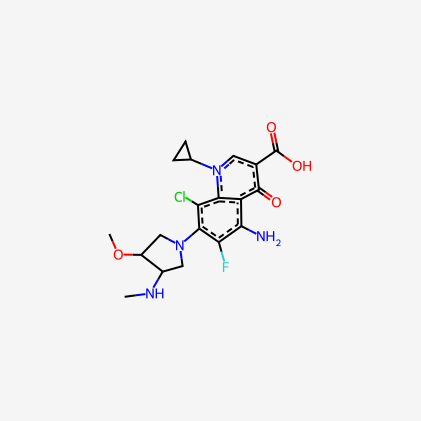 CNC1CN(c2c(F)c(N)c3c(=O)c(C(=O)O)cn(C4CC4)c3c2Cl)CC1OC